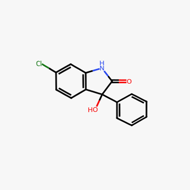 O=C1Nc2cc(Cl)ccc2C1(O)c1ccccc1